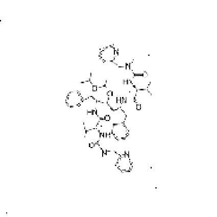 CC(C)OC(C)O[C@@H](C[C@H](Cc1ccccc1)NC(=O)[C@@H](NC(=O)N(C)Cc1ccccn1)C(C)C)[C@H](Cc1ccccc1)NC(=O)[C@@H](NC(=O)N(C)Cc1ccccn1)C(C)C